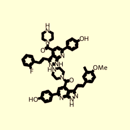 COc1ccc(/C=C/c2n[nH]c3nc(-c4ccc(O)cc4)cc(C(=O)N4CCNCC4)c23)cc1C.O=C(c1cc(-c2ccc(O)cc2)nc2[nH]nc(/C=C/c3ccccc3F)c12)N1CCNCC1